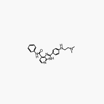 CN(C)CCNc1ccc(-c2nc3c(C(=O)Nc4ccccc4)ccnc3[nH]2)cc1